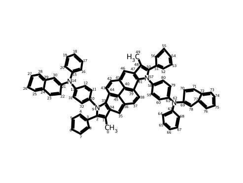 Cc1c(-c2ccccc2)n(-c2ccc(N(c3ccccc3)c3ccc4ccccc4c3)cc2)c2c1cc1ccc3c4c(ccc2c14)cc1c(C)c(-c2ccccc2)n(-c2ccc(N(c4ccccc4)c4ccc5ccccc5c4)cc2)c13